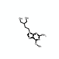 CC(C)Oc1nc(N)nc2c1ncn2CCC(CO)CO